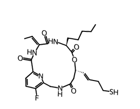 C/C=C1\NC(=O)c2ccc(F)c(n2)CNC(=O)C[C@@H](/C=C/CCS)OC(=O)[C@H](CCCCC)NC1=O